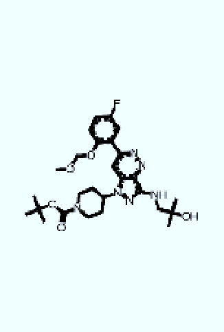 COCOc1ccc(F)cc1-c1cc2c(nn1)c(NCC(C)(C)O)nn2C1CCN(C(=O)OC(C)(C)C)CC1